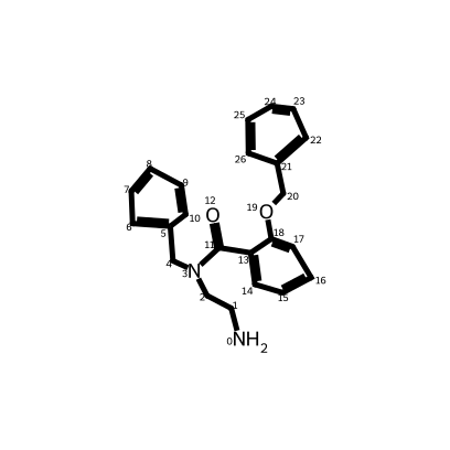 NCCN(Cc1ccccc1)C(=O)c1ccccc1OCc1ccccc1